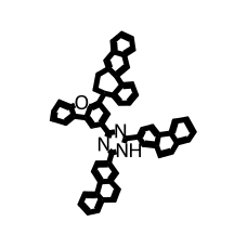 c1ccc2c(c1)-c1cc3ccccc3cc1CCC2c1cc(C2=NC(c3ccc4c(ccc5ccccc54)c3)NC(c3ccc4c(ccc5ccccc54)c3)=N2)cc2c1oc1ccccc12